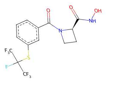 O=C(NO)[C@H]1CCN1C(=O)c1cccc(SC(F)(C(F)(F)F)C(F)(F)F)c1